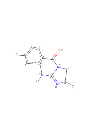 Cc1ccc2c(c1)N(C)C1=NC(C)CN1C2=O